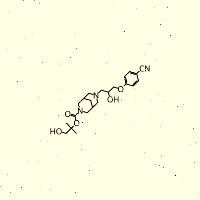 CC(C)(CO)OC(=O)N1CC2CC(CN(CC(O)COc3ccc(C#N)cc3)C2)C1